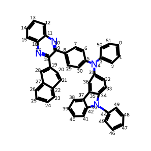 c1ccc(N(c2ccc(-c3nc4ccccc4nc3-c3ccc4ccccc4c3)cc2)c2ccc3c(c2)c2ccccc2n3-c2ccccc2)cc1